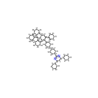 c1ccc(-c2cc(-c3ccccc3)nc(-c3ccc(-c4ccc(-c5cc6c(cc5-c5ccccc5)-c5ccccc5C65c6ccccc6-c6ccccc65)cc4)cc3)n2)cc1